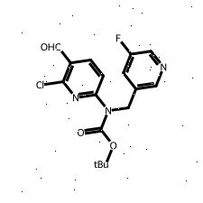 CC(C)(C)OC(=O)N(Cc1cncc(F)c1)c1ccc(C=O)c(Cl)n1